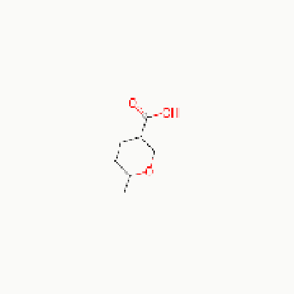 CC1CCC(C(=O)O)CO1